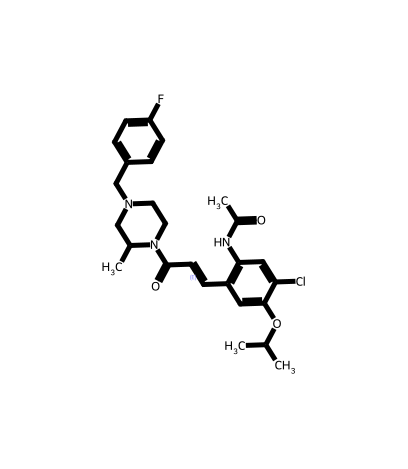 CC(=O)Nc1cc(Cl)c(OC(C)C)cc1/C=C/C(=O)N1CCN(Cc2ccc(F)cc2)CC1C